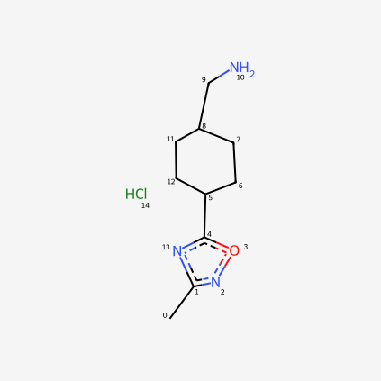 Cc1noc(C2CCC(CN)CC2)n1.Cl